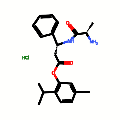 Cc1ccc(C(C)C)c(OC(=O)C[C@@H](NC(=O)[C@H](C)N)c2ccccc2)c1.Cl